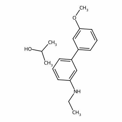 CC(C)O.CCNc1cccc(-c2cccc(OC)c2)c1